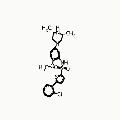 COc1ccc(N2C[C@@H](C)N[C@@H](C)C2)cc1NS(=O)(=O)c1ccc(-c2ccccc2Cl)s1